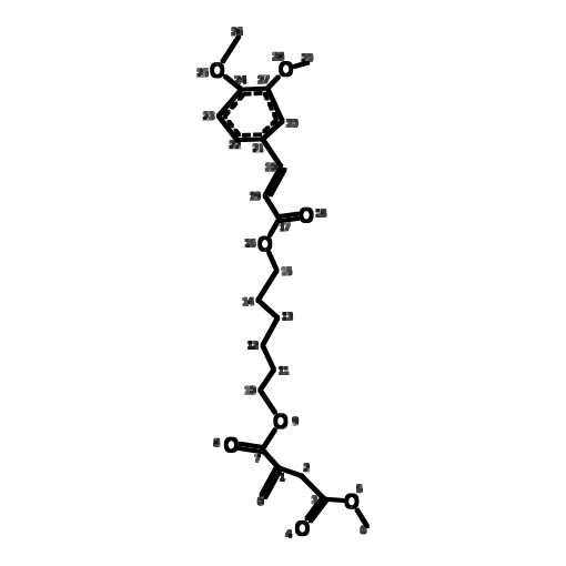 C=C(CC(=O)OC)C(=O)OCCCCCCOC(=O)/C=C/c1ccc(OC)c(OC)c1